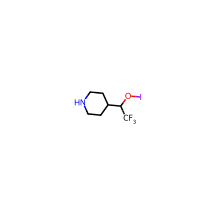 FC(F)(F)C(OI)C1CCNCC1